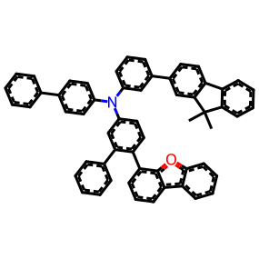 CC1(C)c2ccccc2-c2ccc(-c3cccc(N(c4ccc(-c5ccccc5)cc4)c4ccc(-c5cccc6c5oc5ccccc56)c(-c5ccccc5)c4)c3)cc21